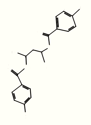 CCc1ccc(C(=O)OC(C)CC(C)OC(=O)c2ccc(CC)cc2)cc1